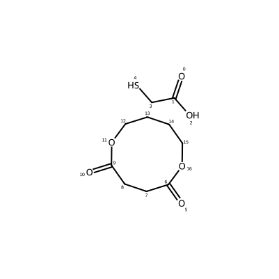 O=C(O)CS.O=C1CCC(=O)OCCCCO1